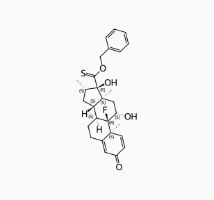 C[C@H]1C[C@H]2[C@@H]3CCC4=CC(=O)C=C[C@]4(C)[C@@]3(F)[C@@H](O)C[C@]2(C)[C@@]1(O)C(=S)OCc1ccccc1